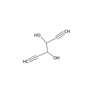 C#CC(O)C(O)C#C